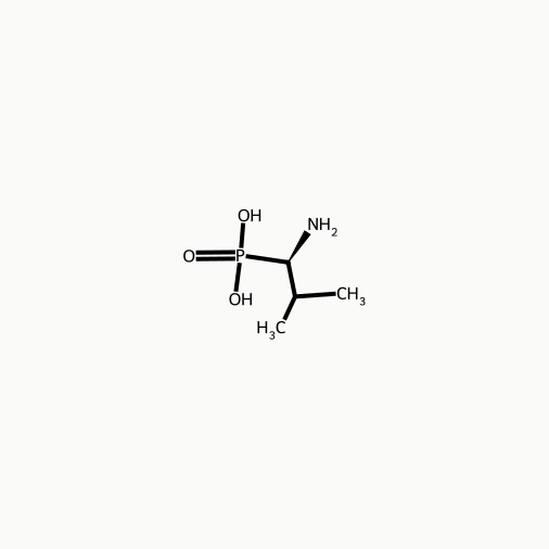 CC(C)[C@H](N)P(=O)(O)O